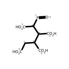 O=PC(C(=O)O)C(C(=O)O)C(CC(=O)O)C(=O)O